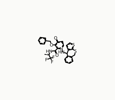 C[C@@H](NC(=O)c1c(OCc2ccccc2)c(=O)ccn1NC1c2ccccc2CSc2sccc21)C(F)(F)F